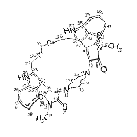 CN1C(=O)C2=C(C1=O)N1CCN(CC1)C1=C(C(=O)N(C)C1=O)c1c([nH]c3ccccc13)CCCCCc1[nH]c3ccccc3c12